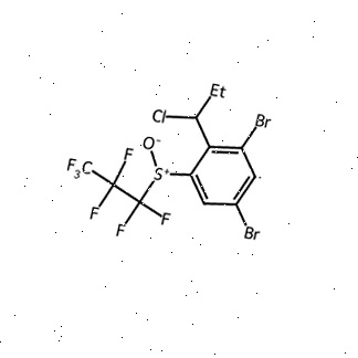 CCC(Cl)c1c(Br)[c]c(Br)cc1[S+]([O-])C(F)(F)C(F)(F)C(F)(F)F